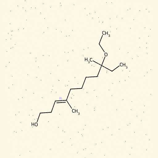 CCOC(C)(CC)CCCC/C(C)=C/CCO